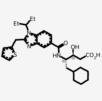 CCC(CC)n1c(Cc2cccs2)nc2cc(C(=O)N[C@@H](CC3CCCCC3)[C@@H](O)CC(=O)O)ccc21